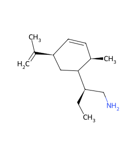 C=C(C)[C@H]1C=C[C@@H](C)C([C@H](CC)CN)C1